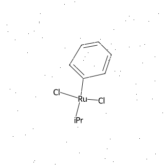 C[CH](C)[Ru]([Cl])([Cl])[c]1ccccc1